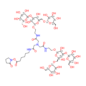 O=C(CN(CC(=O)NCCO[C@H]1O[C@H](CO[C@H]2O[C@H](CO)[C@@H](O)[C@H](O)[C@@H]2O)[C@@H](O)[C@H](O[C@H]2O[C@H](CO)[C@@H](O)[C@H](O)[C@@H]2O)[C@@H]1O)CC(=O)NCCO[C@H]1O[C@H](CO[C@H]2O[C@H](CO)[C@@H](O)[C@H](O)[C@@H]2O)[C@@H](O)[C@H](O[C@H]2O[C@H](CO)[C@@H](O)[C@H](O)[C@@H]2O)[C@@H]1O)NCCCCCC(=O)ON1CCCC1=O